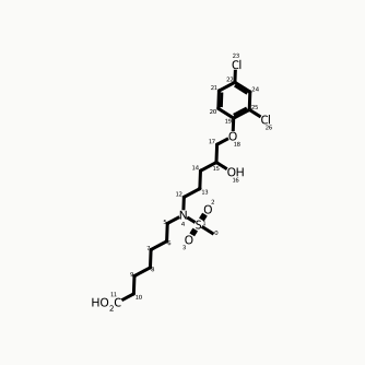 CS(=O)(=O)N(CCCCCCC(=O)O)CCCC(O)COc1ccc(Cl)cc1Cl